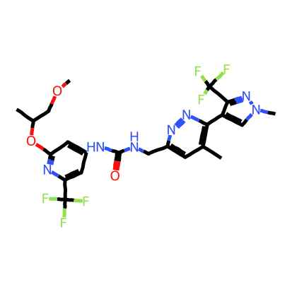 COCC(C)Oc1cc(NC(=O)NCc2cc(C)c(-c3cn(C)nc3C(F)(F)F)nn2)cc(C(F)(F)F)n1